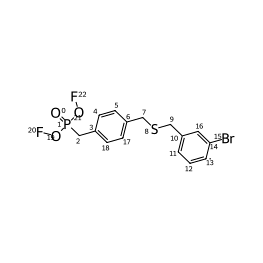 O=P(Cc1ccc(CSCc2cc[c]c(Br)c2)cc1)(OF)OF